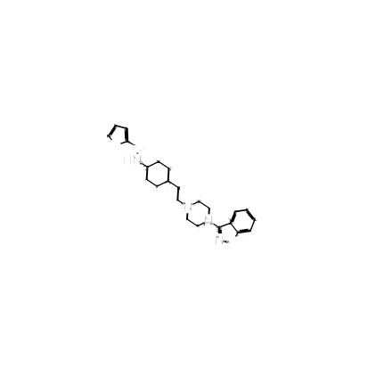 c1csc(SNC2CCC(CCN3CCN(c4nsc5ccccc45)CC3)CC2)c1